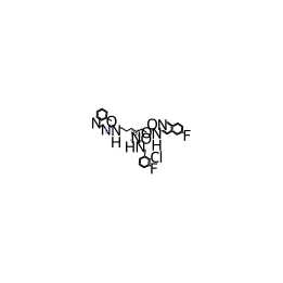 CN(C(=O)NCc1cccc(F)c1Cl)[C@@H](CCCN/C(=N/C#N)Oc1ccccc1)COC(=O)Nc1cc2cc(F)ccc2cn1